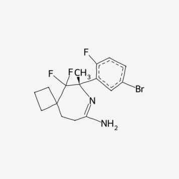 C[C@@]1(c2cc(Br)ccc2F)N=C(N)CCC2(CCC2)C1(F)F